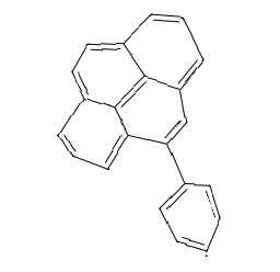 [c]1ccc(-c2cc3cccc4ccc5cccc2c5c43)cc1